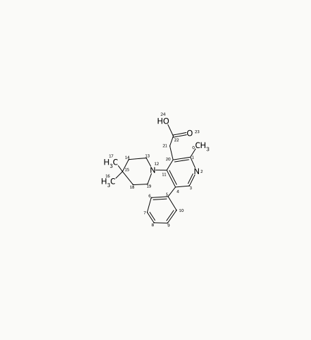 Cc1ncc(-c2ccccc2)c(N2CCC(C)(C)CC2)c1CC(=O)O